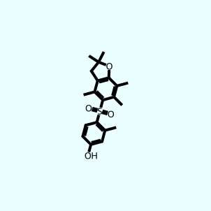 Cc1cc(O)ccc1S(=O)(=O)c1c(C)c(C)c2c(c1C)CC(C)(C)O2